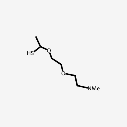 CNCCOCCOC(C)S